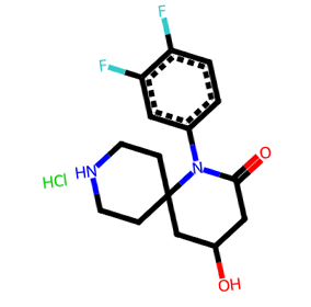 Cl.O=C1CC(O)CC2(CCNCC2)N1c1ccc(F)c(F)c1